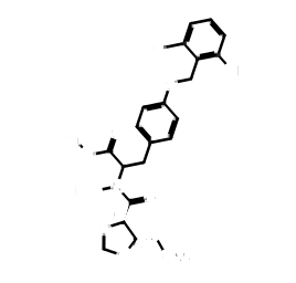 COC[C@@H]1OCO[C@H]1C(=O)N(C)C(Cc1ccc(OCc2c(Cl)cccc2Cl)cc1)C(=O)OC(C)(C)C